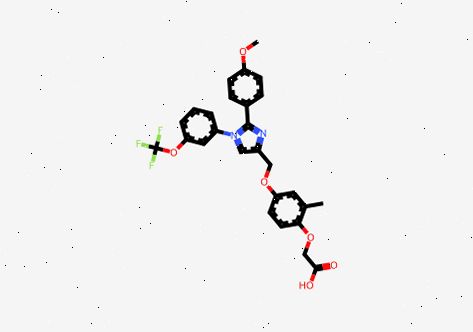 COc1ccc(-c2nc(COc3ccc(OCC(=O)O)c(C)c3)cn2-c2cccc(OC(F)(F)F)c2)cc1